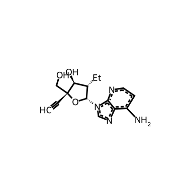 C#C[C@]1(CO)O[C@@H](n2cnc3c(N)ccnc32)[C@@H](CC)[C@@H]1O